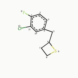 Fc1ccc([CH]C2CCS2)cc1Cl